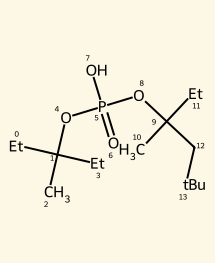 CCC(C)(CC)OP(=O)(O)OC(C)(CC)CC(C)(C)C